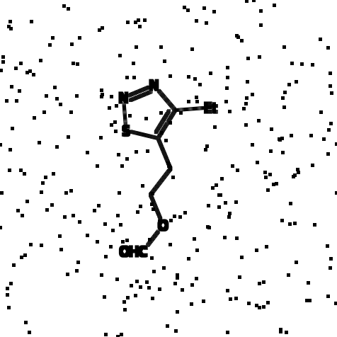 CCc1nnsc1CCOC=O